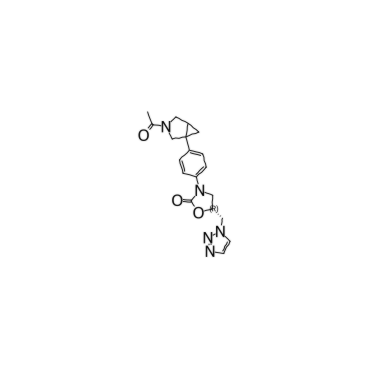 CC(=O)N1CC2CC2(c2ccc(N3C[C@H](Cn4ccnn4)OC3=O)cc2)C1